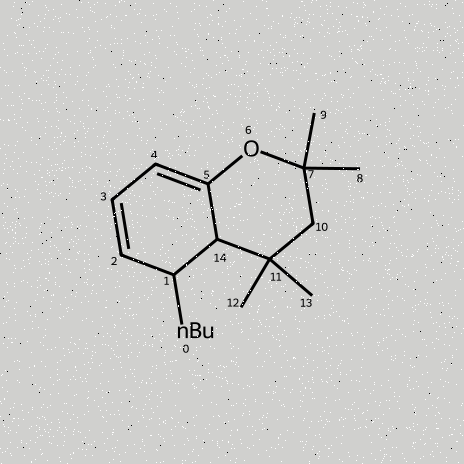 CCCCC1C=CC=C2OC(C)(C)CC(C)(C)C21